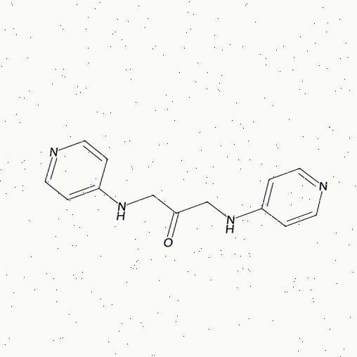 O=C(CNc1ccncc1)CNc1ccncc1